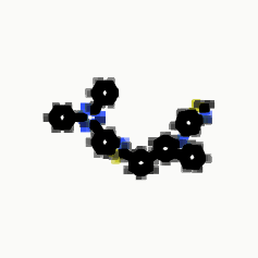 c1ccc(-c2nc(-c3ccccc3)nc(-c3ccc4sc(-c5cccc(-c6ccc7c(c6)c6ccccc6n7-c6ccc7scnc7c6)c5)nc4c3)n2)cc1